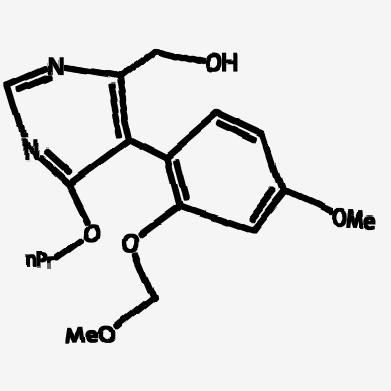 CCCOc1ncnc(CO)c1-c1ccc(OC)cc1OCOC